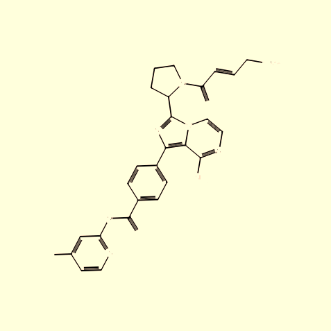 COCC=CC(=O)N1CCCC1c1nc(-c2ccc(C(=O)Nc3cc(F)ccn3)cc2)c2c(N)nccn12